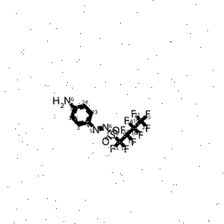 Nc1ccc(N=NS(=O)(=O)C(F)(F)C(F)(F)C(F)(F)C(F)(F)F)cc1